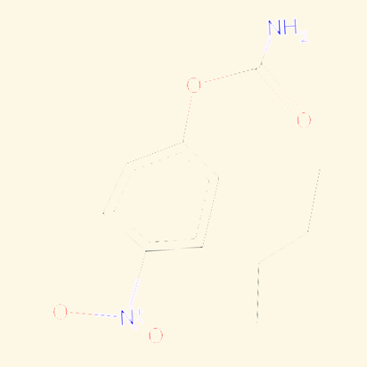 CCCC.NC(=O)Oc1ccc([N+](=O)[O-])cc1